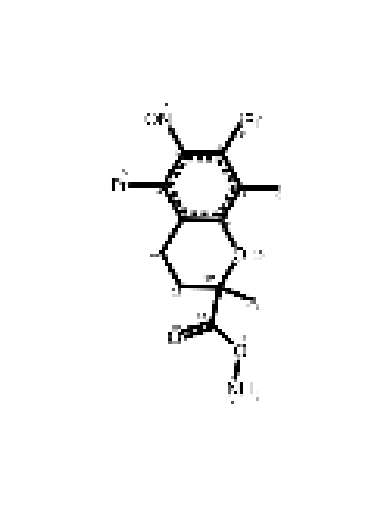 Cc1c2c(c(C(C)C)c(N=O)c1C(C)C)CCC(C)(C(=O)ON)O2